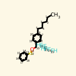 CCCCCCc1ccc(COSc2ccccc2)cc1.F.F.F.F.F